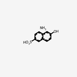 N.O=S(=O)(O)c1ccc2cc(O)ccc2c1